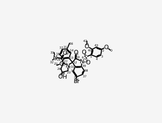 COc1ccc(S(=O)(=O)N2C(=O)C(c3cc(C)ccc3OC)(N3C[C@H](O)C[C@H]3C(=O)N(C)C)c3cc(Br)ccc32)c(OC)c1